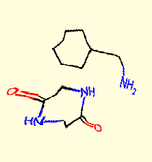 NCC1CCCCC1.O=C1CNC(=O)CN1